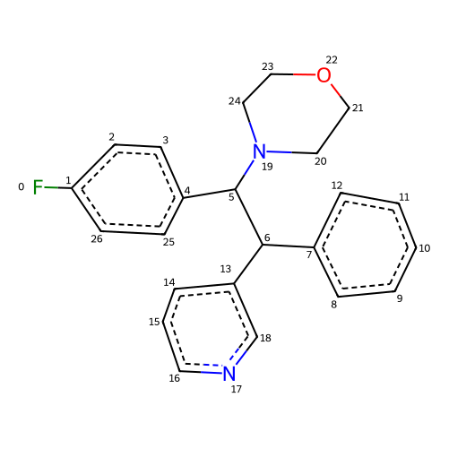 Fc1ccc(C(C(c2ccccc2)c2cccnc2)N2CCOCC2)cc1